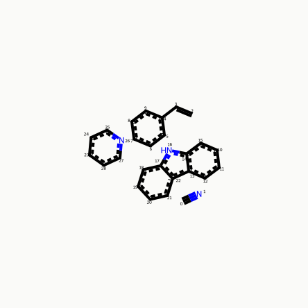 C#N.C=Cc1ccccc1.c1ccc2c(c1)[nH]c1ccccc12.c1ccncc1